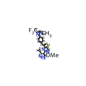 COc1ncnc(C2CC2)c1-c1ncc2scc(Cc3ccc(-c4nc(C(F)(F)F)cn4C)cc3)c2n1